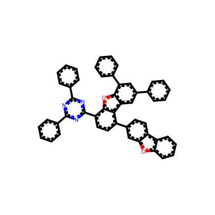 c1ccc(-c2cc(-c3ccccc3)c3oc4c(-c5nc(-c6ccccc6)nc(-c6ccccc6)n5)ccc(-c5ccc6c(c5)oc5ccccc56)c4c3c2)cc1